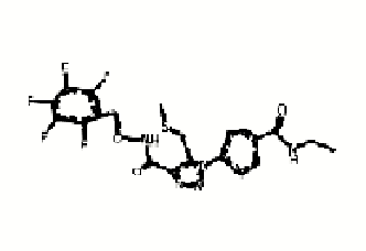 CCNC(=O)c1ccc(-n2nnc(C(=O)NOCc3c(F)c(F)c(F)c(F)c3F)c2CSC)cc1